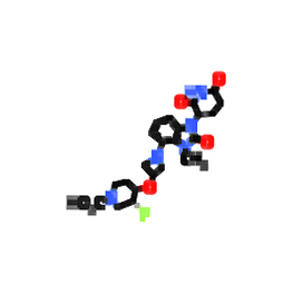 Cn1c(=O)n(C2CCC(=O)NC2=O)c2cccc(N3CC(O[C@@H]4CCN(C(=O)O)C[C@H]4F)C3)c21